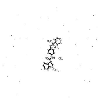 Cn1cc(C(=O)Nc2ccc(C[N+](C)(C)C3CCOCC3)cc2)c2ccccc21.[Cl-]